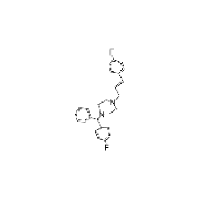 Fc1ccc(/C=C/CN2CCN(C(c3ccccc3)c3ccc(F)cc3)CC2)cc1